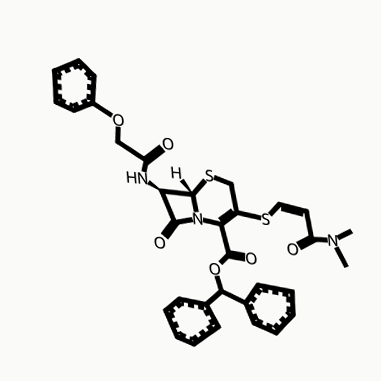 CN(C)C(=O)/C=C\SC1=C(C(=O)OC(c2ccccc2)c2ccccc2)N2C(=O)[C@@H](NC(=O)COc3ccccc3)[C@@H]2SC1